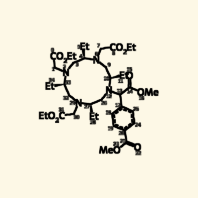 CCOC(=O)CN1C[C@@H](CC)N(CC(=O)OCC)C[C@@H](CC)N(C(C(=O)OC)c2ccc(C(=O)OC)cc2)C[C@@H](CC)N(CC(=O)OCC)C[C@H]1CC